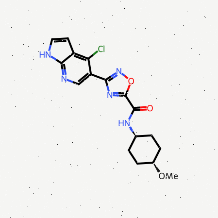 CO[C@H]1CC[C@@H](NC(=O)c2nc(-c3cnc4[nH]ccc4c3Cl)no2)CC1